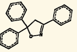 c1ccc(C2=NOC(c3ccccc3)(c3ccccc3)C2)cc1